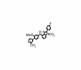 COc1cc(Nc2cccc3c2nc(-c2ccc(F)cc2)n3C)ccc1-c1ccnc(C)c1